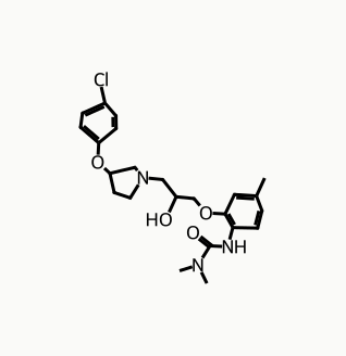 Cc1ccc(NC(=O)N(C)C)c(OCC(O)CN2CCC(Oc3ccc(Cl)cc3)C2)c1